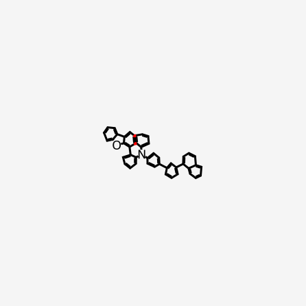 c1ccc(N(c2ccc(-c3cccc(-c4cccc5ccccc45)c3)cc2)c2ccccc2-c2cccc3c2oc2ccccc23)cc1